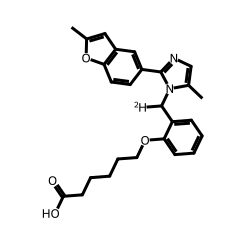 [2H]C(c1ccccc1OCCCCCC(=O)O)n1c(C)cnc1-c1ccc2oc(C)cc2c1